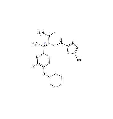 Cc1nc(/C(N)=C(\CNc2ncc(C(C)C)o2)N(C)N)ccc1OC1CCCCC1